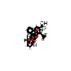 O=C(O)c1ccc(-c2ccc(N3[C@@H]4CC[C@H]3CC(OCc3c(-c5ccccc5OC(F)(F)F)noc3C3CC3)C4)cc2)s1